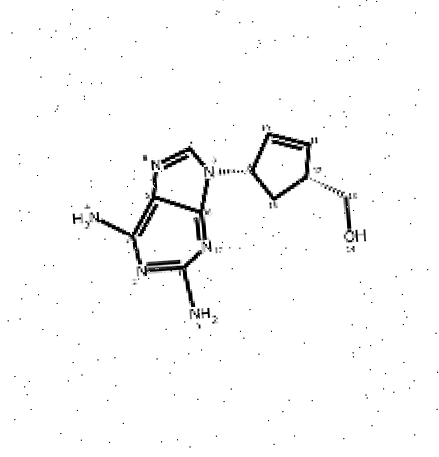 Nc1nc(N)c2ncn([C@@H]3C=C[C@H](CO)C3)c2n1